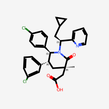 C[C@]1(CC(=O)O)C[C@H](c2cccc(Cl)c2)[C@@H](c2ccc(Cl)cc2)N([C@@H](CC2CC2)c2ccccn2)C1=O